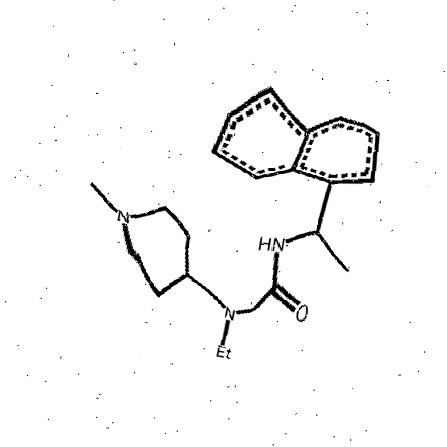 CCN(C(=O)NC(C)c1cccc2ccccc12)C1CCN(C)CC1